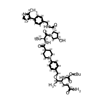 Cc1ncsc1-c1ccc(CNC(=O)[C@@H]2C[C@@H](O)CN2C(=O)[C@@H](NC(=O)C2CCN(c3ccc(CO[C@H](C)[C@H](CCC(N)=O)NC(=O)OC(C)(C)C)cc3)CC2)C(C)(C)C)cc1